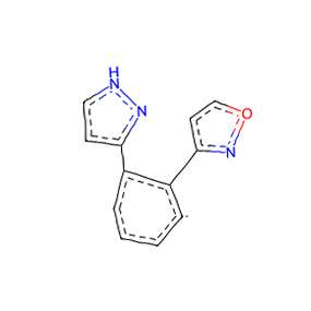 [c]1cccc(-c2cc[nH]n2)c1-c1ccon1